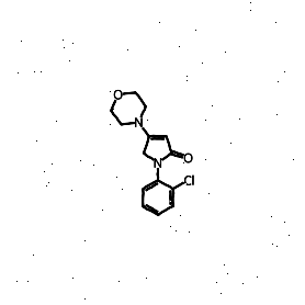 O=C1C=C(N2CCOCC2)CN1c1ccccc1Cl